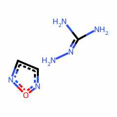 NN=C(N)N.c1cnon1